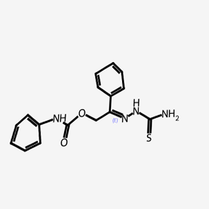 NC(=S)N/N=C(/COC(=O)Nc1ccccc1)c1ccccc1